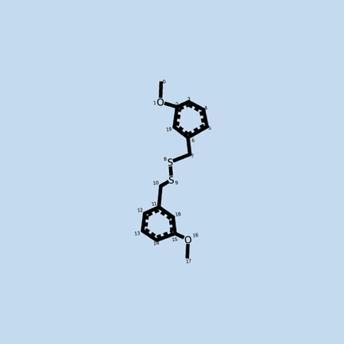 COc1cccc(CSSCc2cccc(OC)c2)c1